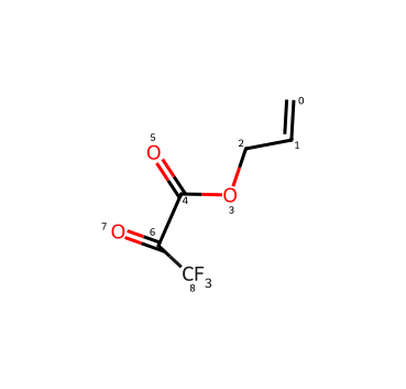 C=CCOC(=O)C(=O)C(F)(F)F